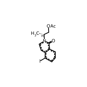 CC(=O)OC[C@@H](C)n1ccc2c(I)cccc2c1=O